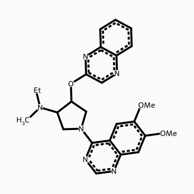 CCN(C)C1CN(c2ncnc3cc(OC)c(OC)cc23)CC1Oc1cnc2ccccc2n1